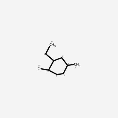 CCC1CC(C)CCC1Cl